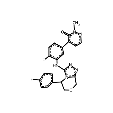 Cn1nccc(-c2ccc(F)c(Nc3nnc4n3C(c3ccc(F)cc3)COC4)c2)c1=O